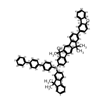 CC1(C)c2ccccc2-c2ccc(N(c3ccc(-c4ccc(-c5ccccc5)cc4)cc3)c3ccc4c(c3)C(C)(C)c3cc5c(cc3-4)C(C)(C)c3cc(-c4ccc6oc7ccccc7c6c4)ccc3-5)cc21